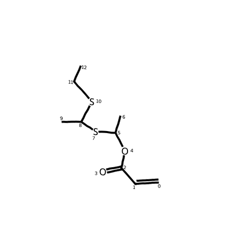 C=CC(=O)OC(C)SC(C)SCC